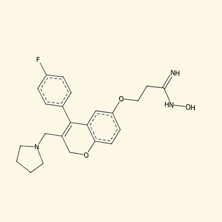 N=C(CCOc1ccc2c(c1)C(c1ccc(F)cc1)=C(CN1CCCC1)CO2)NO